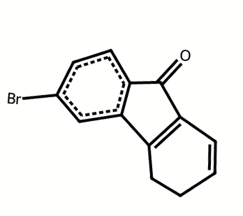 O=C1C2=C(CCC=C2)c2cc(Br)ccc21